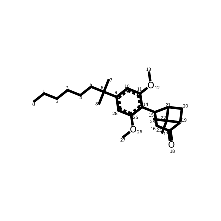 CCCCCCC(C)(C)c1cc(OC)c(C2CC(=O)C3CC2C3(C)C)c(OC)c1